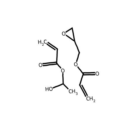 C=CC(=O)OC(C)O.C=CC(=O)OCC1CO1